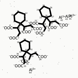 O=C([O-])CC(C(=O)[O-])C1(C(CC(=O)[O-])C(=O)[O-])CCCCC1.O=C([O-])CC(C(=O)[O-])C1(C(CC(=O)[O-])C(=O)[O-])CCCCC1.O=C([O-])CC(C(=O)[O-])C1(C(CC(=O)[O-])C(=O)[O-])CCCCC1.[Al+3].[Al+3].[Al+3].[Al+3]